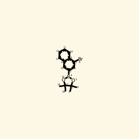 CC1(C)OB(c2cc(Br)c3ccccc3c2)OC1(C)C